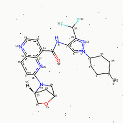 CC(C)C1CCC(n2cc(NC(=O)c3ccnc4ccc(N5CC6C[C@@H]5CO6)nc34)c(C(F)F)n2)CC1